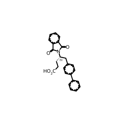 O=C(O)CC[C@@H](Cc1ccc(-c2ccccc2)cc1)N1C(=O)c2ccccc2C1=O